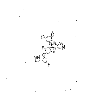 COc1ccc(CN(c2ccncn2)S(=O)(=O)c2cc(F)c(O[C@H]3C[C@H](F)C[C@@H]3c3ccnn3C)cc2F)c(OC)c1